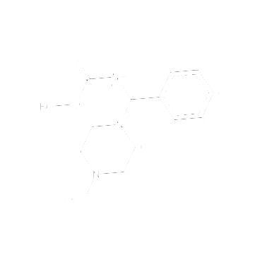 CC(C)(C)OC(=O)NC(c1ccccc1)N1CCN(C=O)CC1